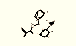 C=C(C)C(=O)OCC1CC2CCC1O2.C=Cc1ccccc1